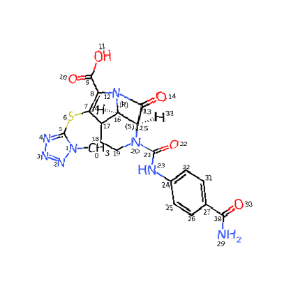 Cn1nnnc1SC1=C(C(=O)O)N2C(=O)[C@@H]3[C@H]2C1CCN3C(=O)Nc1ccc(C(N)=O)cc1